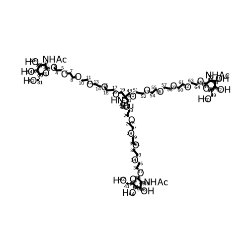 CC(=O)N[C@H]1[C@H](OCCOCCOCCOCCOCCOCC(COCCOCCOCCOCCOCCO[C@@H]2O[C@H](CO)[C@H](O)[C@H](O)[C@H]2NC(C)=O)(COCCOCCOCCOCCOCCO[C@@H]2O[C@H](CO)[C@H](O)[C@H](O)[C@H]2NC(C)=O)NC(C)(C)C)O[C@H](CO)[C@H](O)[C@@H]1O